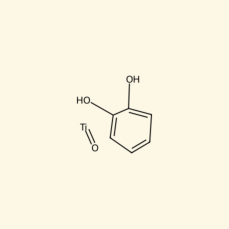 Oc1ccccc1O.[O]=[Ti]